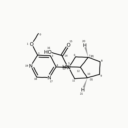 COc1cc(N2C[C@H]3CC[C@@H](C2)C3NC(=O)O)ncn1